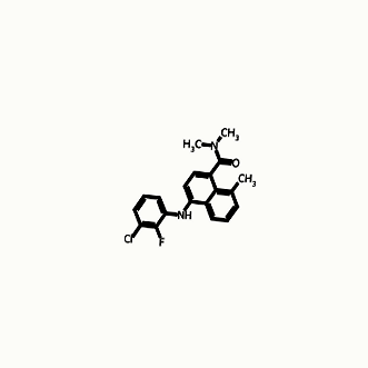 Cc1cccc2c(Nc3cccc(Cl)c3F)ccc(C(=O)N(C)C)c12